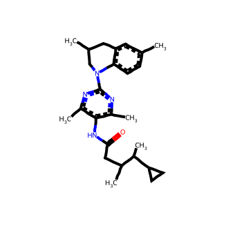 Cc1ccc2c(c1)CC(C)CN2c1nc(C)c(NC(=O)CC(C)C(C)C2CC2)c(C)n1